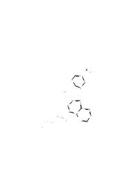 COc1cc(NCCCN)c2nccc(C)c2c1Oc1cccc(C(F)(F)F)c1